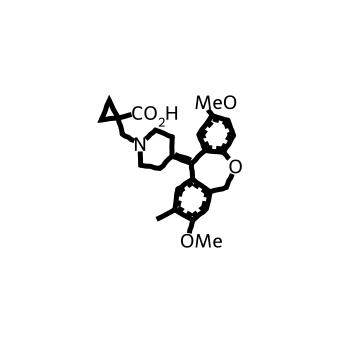 COc1ccc2c(c1)C(=C1CCN(CC3(C(=O)O)CC3)CC1)c1cc(C)c(OC)cc1CO2